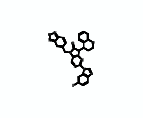 O=c1n(Cc2ccc3nonc3c2)c2cnc(-n3cnc4ccc(F)cc43)nc2n1C1CCOc2ccccc21